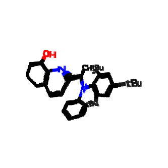 CC(c1ccc2c(n1)C(O)CCC2)N(c1ccccc1)c1c(C(C)(C)C)cc(C(C)(C)C)cc1C(C)(C)C